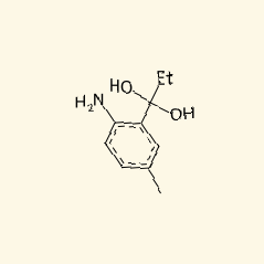 CCC(O)(O)c1cc(C)ccc1N